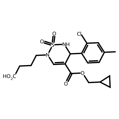 Cc1ccc(C2NS(=O)(=O)N(CCCC(=O)O)C=C2C(=O)OCC2CC2)c(Cl)c1